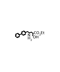 CCOC(=O)[C@H](CO)C[C@H](N)Cc1ccc(-c2ccccc2)cc1